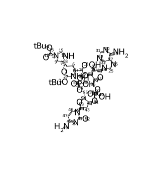 CC(C)(C)OC(=O)N[C@@H](CC[C@H]1CN(C(=O)OC(C)(C)C)CN1)C(=O)O[C@H]1[C@@H](O)[C@H](n2cnc3c(N)ncnc32)O[C@@H]1COP(=O)(O)O[C@H]1C[C@H](n2ccc(N)nc2=O)O[C@@H]1COP(=O)(O)O